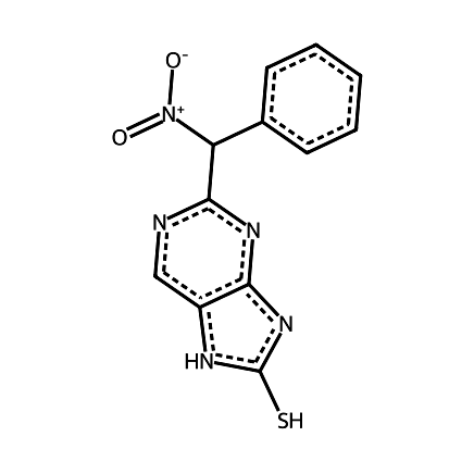 O=[N+]([O-])C(c1ccccc1)c1ncc2[nH]c(S)nc2n1